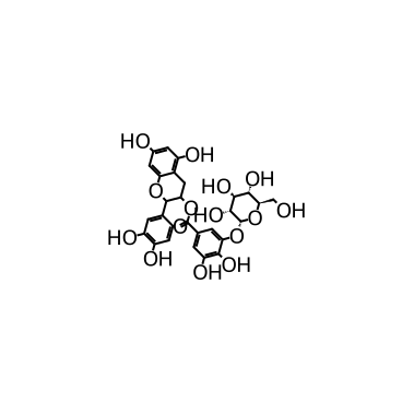 O=C(OC1Cc2c(O)cc(O)cc2OC1c1ccc(O)c(O)c1)c1cc(O)c(O)c(O[C@H]2O[C@H](CO)[C@@H](O)[C@H](O)[C@H]2O)c1